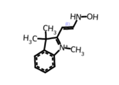 C[N+]1=C(/C=C/NO)C(C)(C)c2ccccc21